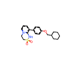 O=S1(=O)CC[n+]2cccc(-c3ccc(OCC4CCCCC4)cc3)c2N1